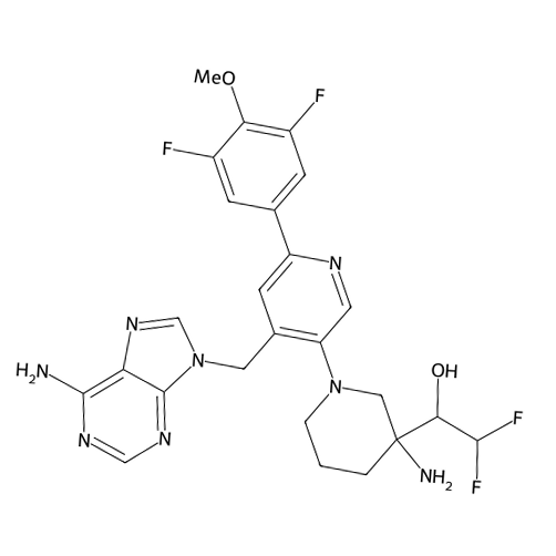 COc1c(F)cc(-c2cc(Cn3cnc4c(N)ncnc43)c(N3CCCC(N)(C(O)C(F)F)C3)cn2)cc1F